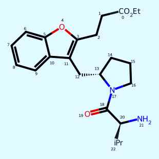 CCOC(=O)CCc1oc2ccccc2c1C[C@@H]1CCCN1C(=O)[C@@H](N)C(C)C